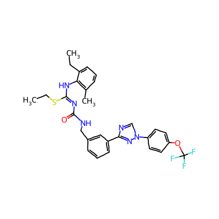 CCS/C(=N\C(=O)NCc1cccc(-c2ncn(-c3ccc(OC(F)(F)F)cc3)n2)c1)Nc1c(C)cccc1CC